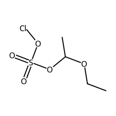 CCOC(C)OS(=O)(=O)OCl